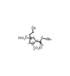 CCCCOC(=O)N1C[C@](CCC#N)(C(=O)OCC)C[C@H]1C(=O)OCC